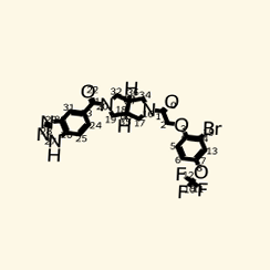 O=C(COc1ccc(OC(F)(F)F)cc1Br)N1C[C@H]2CN(C(=O)c3ccc4[nH]nnc4c3)C[C@@H]2C1